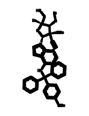 C#C[C@@]1(OC)[C@H](OCC)[C@](CC)(CO)O[C@H]1n1ccc2c(NC(c3ccccc3)(c3ccccc3)c3ccc(OC)cc3)ncnc21